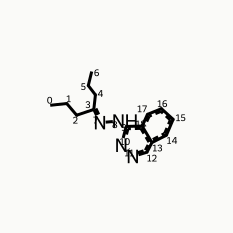 CCCC(CCC)=NNc1nncc2ccccc12